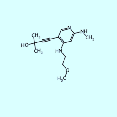 CNc1cc(NCCOC)c(C#CC(C)(C)O)cn1